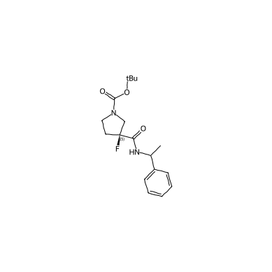 CC(NC(=O)[C@]1(F)CCN(C(=O)OC(C)(C)C)C1)c1ccccc1